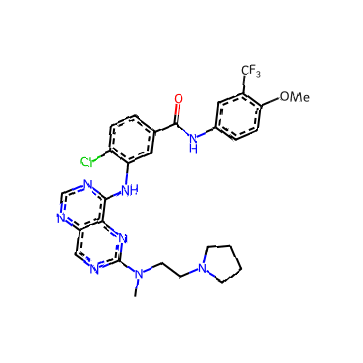 COc1ccc(NC(=O)c2ccc(Cl)c(Nc3ncnc4cnc(N(C)CCN5CCCC5)nc34)c2)cc1C(F)(F)F